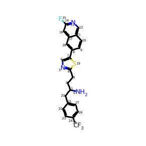 NC(CCc1ncc(-c2ccc3cnc(F)cc3c2)s1)Cc1ccc(C(F)(F)F)cc1